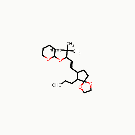 CCCCCC(C)(C)C(C=CC1CCC2(OCCO2)C1CCC=O)OC1CCCCO1